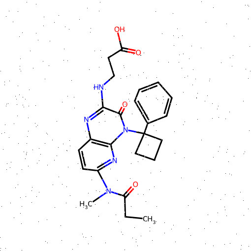 CCC(=O)N(C)c1ccc2nc(NCCC(=O)O)c(=O)n(C3(c4ccccc4)CCC3)c2n1